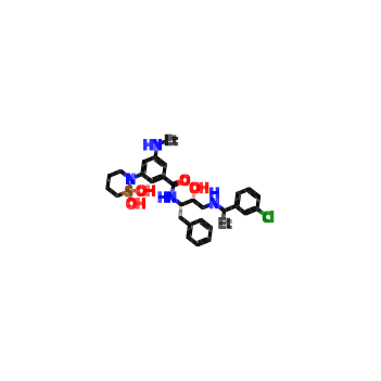 CCNc1cc(C(=O)N[C@@H](Cc2ccccc2)[C@H](O)CNC(CC)c2cccc(Cl)c2)cc(N2CCCCS2(O)O)c1